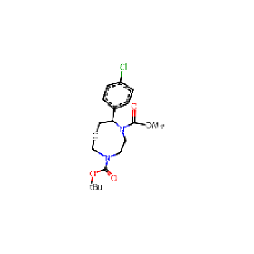 COC(=O)N1CCN(C(=O)OC(C)(C)C)CCC[C@H]1c1ccc(Cl)cc1